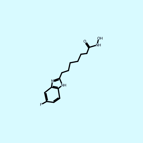 O=C(CCCCCCc1nc2cc(F)ccc2[nH]1)NO